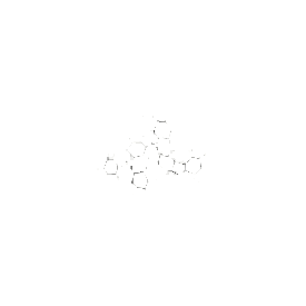 Clc1cccc(N(c2cccc(N(c3ccccc3)c3ccccc3)c2)c2ccc3sc4ccccc4c3c2)c1